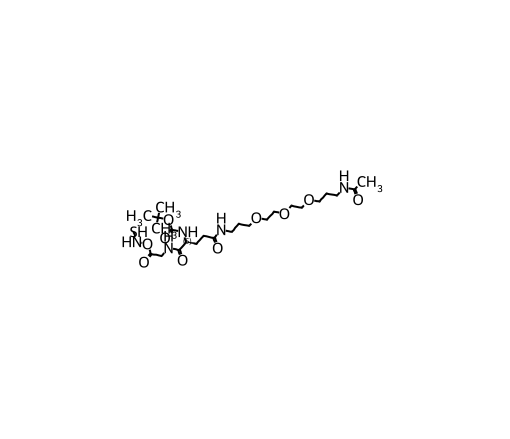 CC(=O)NCCCOCCOCCOCCCNC(=O)CC[C@H](NC(=O)OC(C)(C)C)C(=O)NCC(=O)ONS